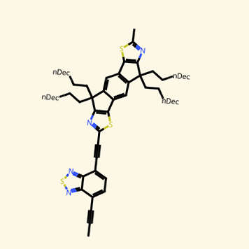 CC#Cc1ccc(C#Cc2nc3c(s2)-c2cc4c(cc2C3(CCCCCCCCCCCC)CCCCCCCCCCCC)-c2sc(C)nc2C4(CCCCCCCCCCCC)CCCCCCCCCCCC)c2nsnc12